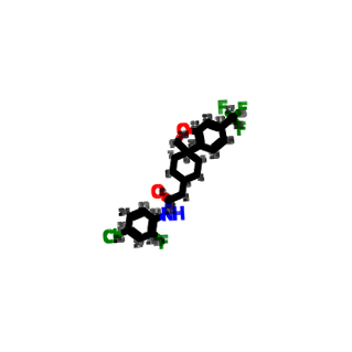 O=C(CC1CCC2(CC1)COc1cc(C(F)(F)F)ccc12)Nc1ccc(Cl)cc1F